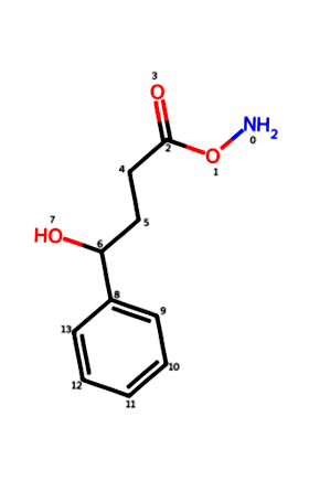 NOC(=O)CCC(O)c1ccccc1